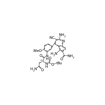 COc1ccc(-c2c(C#N)c(N)nc3sc(C(N)=O)c(N)c23)cc1NC(=O)[C@H](CC(N)=O)NC(=O)OC(C)(C)C